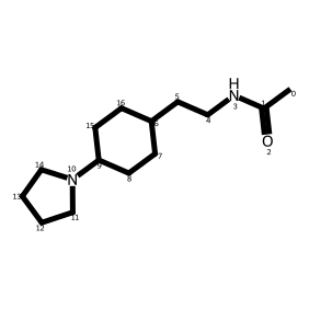 CC(=O)NCCC1CCC(N2CCCC2)CC1